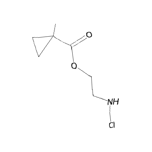 CC1(C(=O)OCCNCl)CC1